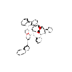 c1cc(-c2ccc3ccccc3c2)cc(N(c2ccccc2-c2ccccc2-n2c3ccccc3c3ccccc32)c2ccccc2-c2cccc3c2oc2ccccc23)c1